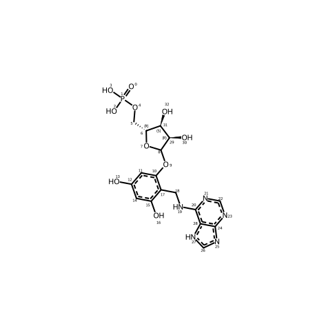 O=P(O)(O)OC[C@H]1OC(Oc2cc(O)cc(O)c2CNc2ncnc3nc[nH]c23)[C@H](O)[C@@H]1O